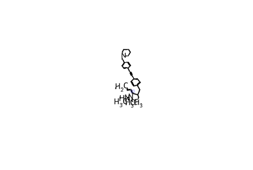 C=C/C=C(/C(CC)Cc1ccc(C#Cc2ccc(CN3CCCCC3)cc2)cc1)N(C)NC